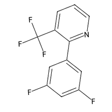 Fc1cc(F)cc(-c2ncccc2C(F)(F)F)c1